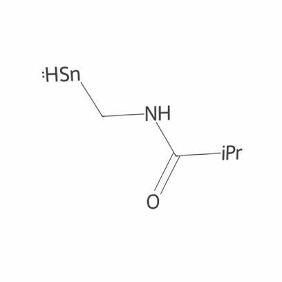 CC(C)C(=O)N[CH2][SnH]